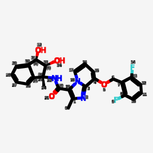 Cc1nc2c(OCc3c(F)cccc3F)cccn2c1C(=O)N[C@]1(C)c2ccccc2[C@@H](O)[C@H]1O